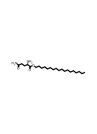 CCCCCCCCCCCCCCCCCCOC(=O)[C@H](N)CCC(N)=O